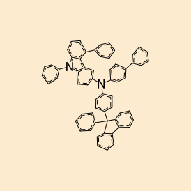 c1ccc(-c2ccc(N(c3ccc(C4(c5ccccc5)c5ccccc5-c5ccccc54)cc3)c3ccc4c(c3)c3c(-c5ccccc5)cccc3n4-c3ccccc3)cc2)cc1